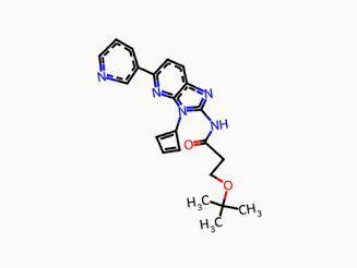 CC(C)(C)OCCC(=O)Nc1nc2ccc(-c3cccnc3)nc2n1C1=CC=C1